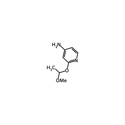 COC(C)Oc1cc(N)ccn1